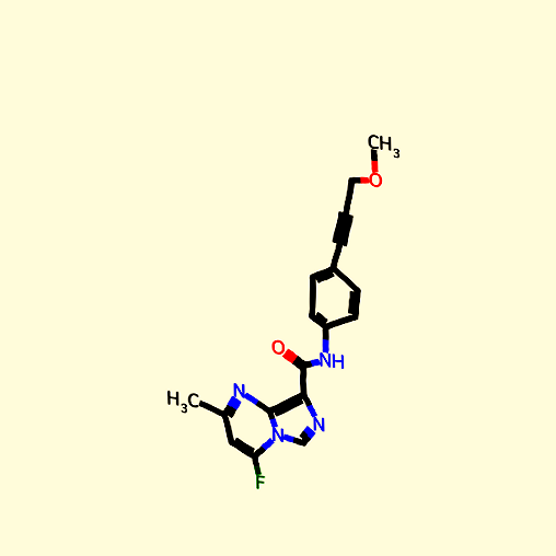 COCC#Cc1ccc(NC(=O)c2ncn3c(F)cc(C)nc23)cc1